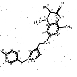 Cc1nc(NCc2cnn(Cc3ccc(Cl)nc3)c2)nc2c1NC(=O)C(C(C)C)N2C